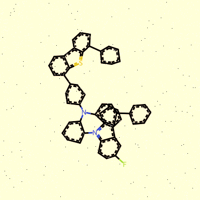 Fc1ccc2c(c1)c1ccccc1n2-c1ccccc1N(c1ccc(-c2ccccc2)cc1)c1ccc(-c2cccc3c2sc2c(-c4ccccc4)cccc23)cc1